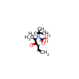 C=CCC(=O)C(C)N(C(=O)O)C(C)(C)C